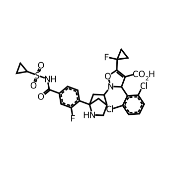 O=C(O)C1=C(C2(F)CC2)ON(C2CC3(c4ccc(C(=O)NS(=O)(=O)C5CC5)cc4F)CC2CN3)C1c1c(Cl)cccc1Cl